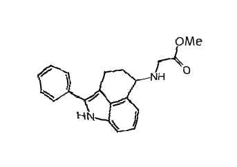 COC(=O)CNC1CCc2c(-c3ccccc3)[nH]c3cccc1c23